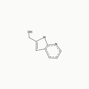 OCC1=Cc2cccnc2[N]1